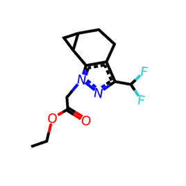 CCOC(=O)Cn1nc(C(F)F)c2c1C1CC1CC2